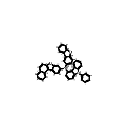 c1ccc(-n2c3ccccc3c3c(N(c4ccc5c(c4)oc4ccc6ccccc6c45)c4ccc5oc6ccccc6c5c4)cccc32)cc1